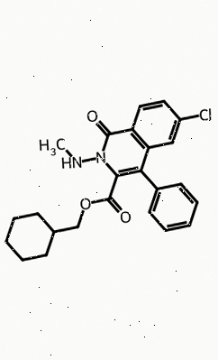 CNn1c(C(=O)OCC2CCCCC2)c(-c2ccccc2)c2cc(Cl)ccc2c1=O